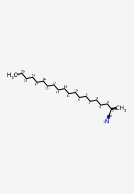 C=C(C#N)CCCCCCCCCCCCCCCCCC